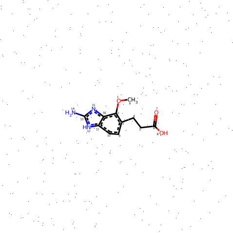 COc1c(CCC(=O)O)ccc2[nH]c(N)nc12